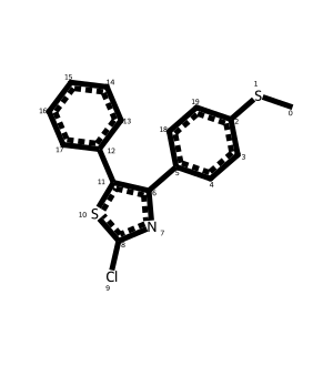 CSc1ccc(-c2nc(Cl)sc2-c2ccccc2)cc1